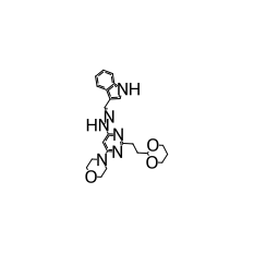 C(=N\Nc1cc(N2CCOCC2)nc(CCC2OCCCO2)n1)/c1c[nH]c2ccccc12